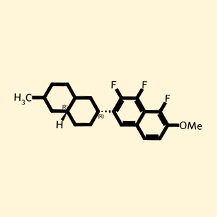 COc1ccc2cc([C@@H]3CC[C@@H]4CC(C)CCC4C3)c(F)c(F)c2c1F